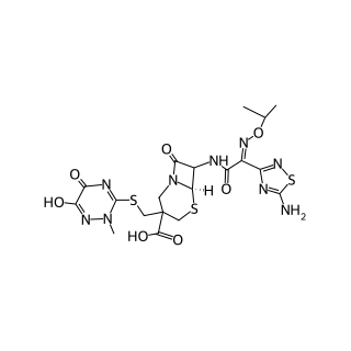 CC(C)ON=C(C(=O)NC1C(=O)N2CC(CSc3nc(=O)c(O)nn3C)(C(=O)O)CS[C@H]12)c1nsc(N)n1